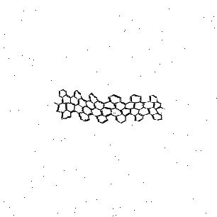 Cc1cc2cccc3c2c2c4c(c5ccccc5c12)-c1cccc2c1C1c5c6c-2c2cccc7c2c2c6c(c6cccc(c56)=C3C41)c1cccc3c1c2c1c7c2cccc4c2c2c1c3c1cccc3c5c6cccc7c8c9ccccc9c9c(C)cc%10cccc%11c%10c9c8c8c%11c9cccc%10c9c(c8c76)c5c(c%104)c2c13